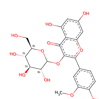 COc1cc(-c2oc3cc(O)cc(O)c3c(=O)c2OC2O[C@H](CO)[C@@H](O)[C@H](O)[C@H]2O)ccc1O